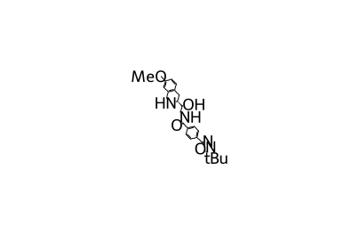 COc1ccc2c(c1)CN[C@H](C(O)CNC(=O)c1ccc(-c3nnc(C(C)(C)C)o3)cc1)C2